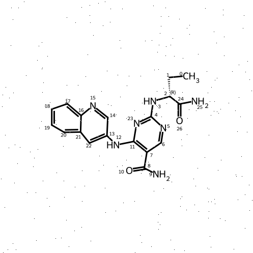 CC[C@@H](Nc1ncc(C(N)=O)c(Nc2cnc3ccccc3c2)n1)C(N)=O